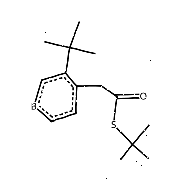 CC(C)(C)SC(=O)Cc1ccbcc1C(C)(C)C